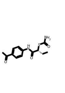 CC[C@@H](SC(N)=O)C(=O)Nc1ccc(C(C)=O)cc1